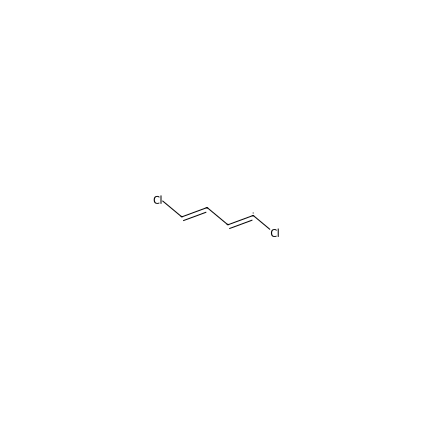 Cl[C]=CC=CCl